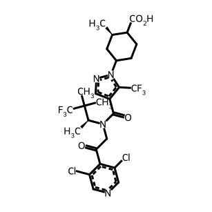 C[C@@H]1CC(n2ncc(C(=O)N(CC(=O)c3c(Cl)cncc3Cl)[C@@H](C)C(C)(C)C(F)(F)F)c2C(F)(F)F)CCC1C(=O)O